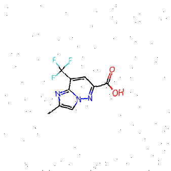 Cc1cn2nc(C(=O)O)cc(C(F)(F)F)c2n1